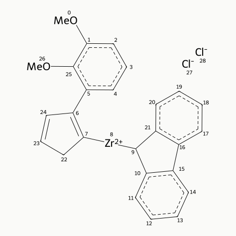 COc1cccc(C2=[C]([Zr+2][CH]3c4ccccc4-c4ccccc43)CC=C2)c1OC.[Cl-].[Cl-]